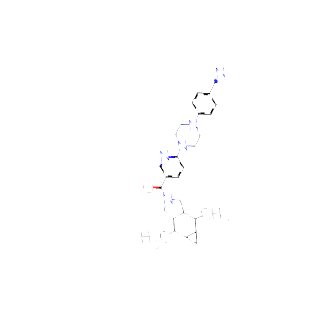 CC1C2CC2C(C)C2CN(C(=O)c3ccc(N4CCN(c5ccc(C#N)cc5)CC4)nc3)CC12